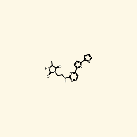 CC1NC(=O)N(CCNc2nccc(-c3ccc(-c4cccs4)s3)n2)C1=O